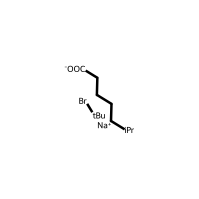 CC(C)(C)Br.CC(C)CCCCC(=O)[O-].[Na+]